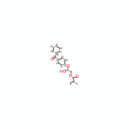 C=C(C)C(=O)OCC(O)Oc1ccc(C(=O)c2ccccc2)cc1